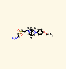 CCOc1ccc(N2C[C@H]3CN(CCCS(=O)(=O)CCN)C[C@@H]2C(C)(C)C3)cc1